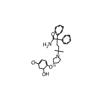 CC(C)(CCC(C(N)=O)(c1ccccc1)c1ccccc1)N1CC[C@H](OC2=CC=C(Cl)CC2O)C1